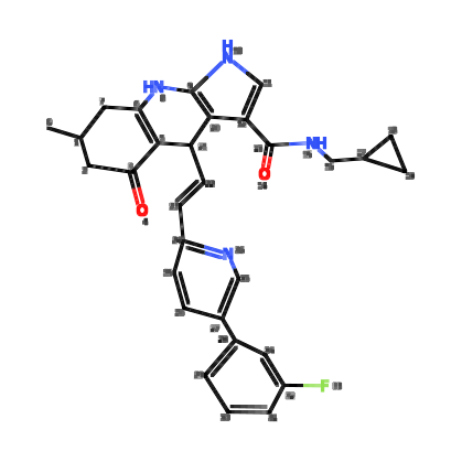 CC1CC(=O)C2=C(C1)Nc1[nH]cc(C(=O)NCC3CC3)c1C2C=Cc1ccc(-c2cccc(F)c2)cn1